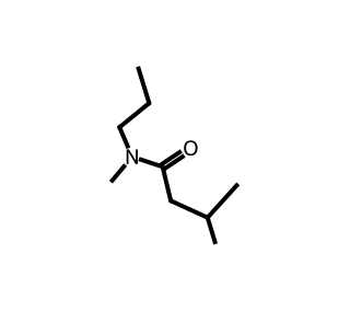 CCCN(C)C(=O)CC(C)C